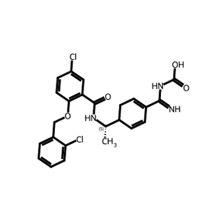 C[C@H](NC(=O)c1cc(Cl)ccc1OCc1ccccc1Cl)C1C=CC(C(=N)NC(=O)O)=CC1